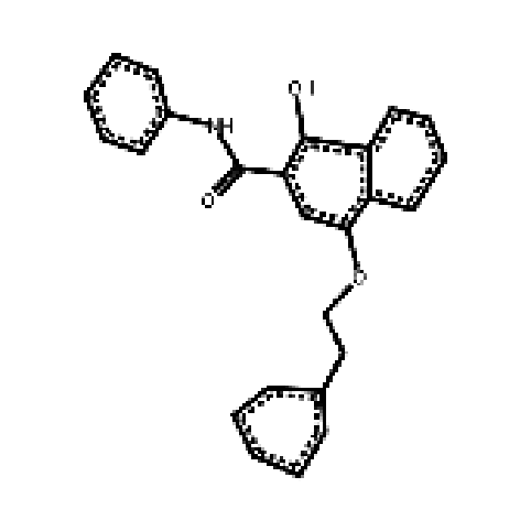 O=C(Nc1ccccc1)c1cc(OCCc2ccccc2)c2ccccc2c1O